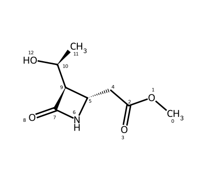 COC(=O)C[C@@H]1NC(=O)[C@H]1[C@H](C)O